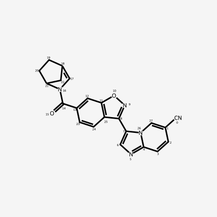 N#Cc1ccc2ncc(-c3noc4cc(C(=O)N5C=C6CCC5C6)ccc34)n2c1